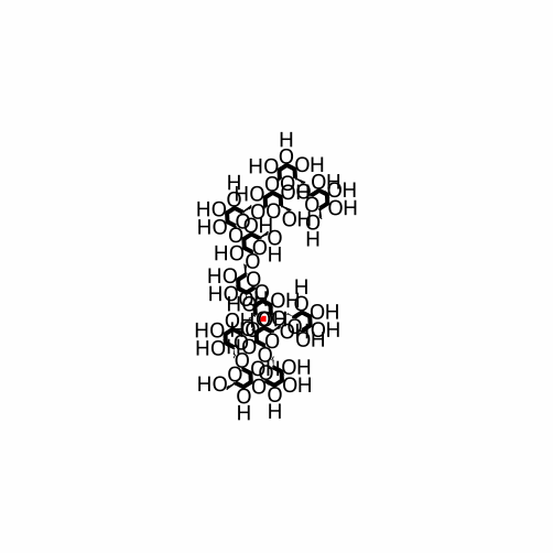 OC[C@H]1O[C@H](OC[C@H]2O[C@H](O[C@@H]3[C@@H](O)[C@@H](OC[C@H]4O[C@H](OC[C@H]5O[C@H](OC[C@H]6O[C@H](O)[C@H](O)[C@@H](O)[C@@H]6O)[C@H](O)[C@@H](O[C@H]6O[C@H](CO[C@H]7O[C@H](CO)[C@@H](O)[C@H](O[C@H]8O[C@H](CO[C@H]9O[C@H](CO)[C@@H](O)[C@H](O[C@H]%10O[C@H](CO[C@H]%11O[C@H](CO)[C@@H](O)[C@H](O)[C@H]%11O)[C@@H](O)[C@H](O)[C@H]%10O)[C@H]9O)[C@@H](O)[C@H](O)[C@H]8O)[C@H]7O)[C@@H](O)[C@H](O)[C@H]6O)[C@@H]5O)[C@H](O)[C@@H](O)[C@@H]4O)O[C@H](CO)[C@H]3O)[C@H](O)[C@@H](O)[C@@H]2O)[C@H](O)[C@@H](O)[C@@H]1O